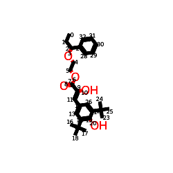 CCC(OCCOC(=O)C(O)=Cc1cc(C(C)(C)C)c(O)c(C(C)(C)C)c1)c1ccccc1